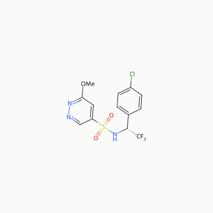 COc1cc(S(=O)(=O)N[C@H](c2ccc(Cl)cc2)C(F)(F)F)cnn1